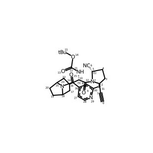 C#CC1CC[C@@H](C#N)N1C(=O)[C@@H](NC(=O)OC(C)(C)C)C1CC2CCC(C1)N2C(=O)c1ccnc(F)c1